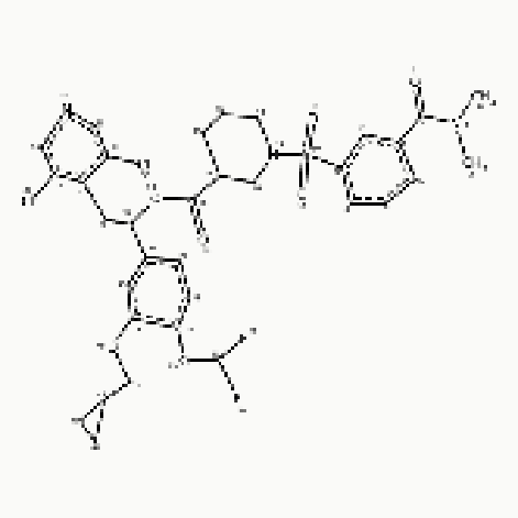 CN(C)C(=O)c1cccc(S(=O)(=O)N2CCCC(C(=O)OC(Cc3c(Cl)cncc3Cl)c3ccc(OC(F)F)c(OCC4CC4)c3)C2)c1